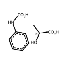 C[C@H](O)C(=O)O.O=C(O)Nc1ccccc1